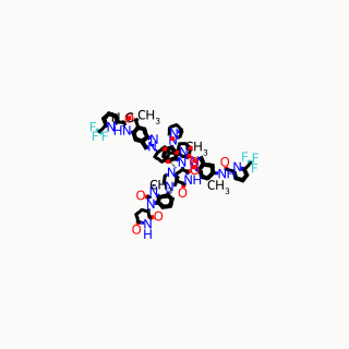 Cc1cc2nn([C@@H]3CC[C@@H](CN4C5CC4CN(c4cccc6c4n(C)c(=O)n6C4CCC(=O)NC4=O)C5)C(C4C[C@H](n5cc6cc(NC(=O)c7cccc(C(F)(F)F)n7)c(C(C)C)cc6n5)CC[C@H]4CN4CCN(c5cccc6c5n(C)c(=O)n6C5CCC(=O)NC5=O)CC4)C3)cc2cc1NC(=O)c1cccc(C(F)(F)F)n1